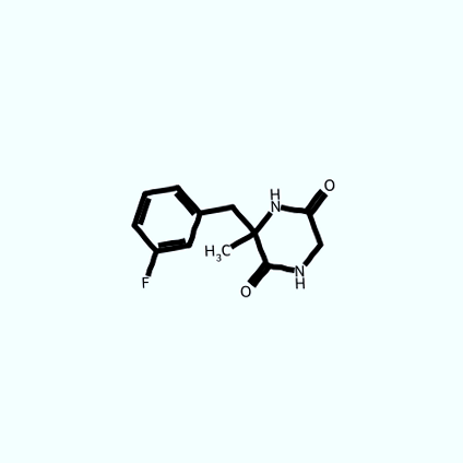 CC1(Cc2cccc(F)c2)NC(=O)CNC1=O